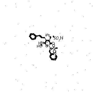 CC(C)C[C@@H](C(=O)NN(Cc1ccccn1)S(C)(=O)=O)[C@H](CC=Cc1ccccc1)C(=O)NO.CS(=O)(=O)O